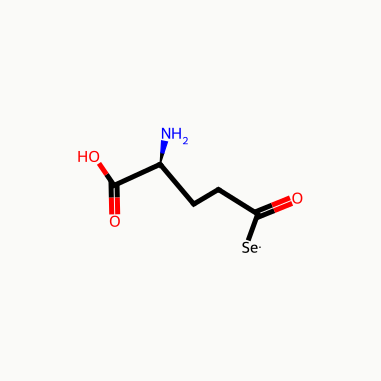 N[C@@H](CCC(=O)[Se])C(=O)O